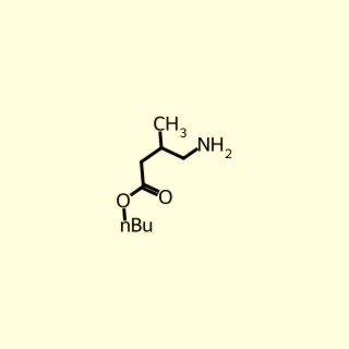 CCCCOC(=O)CC(C)CN